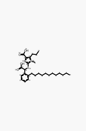 CCCCCCCCCCCCc1ccccc1C(Sc1nc(C(=O)O)c(CCC)n1C)C(=O)O